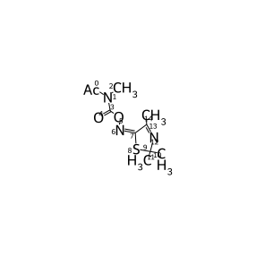 CC(=O)N(C)C(=O)ON=C1SC(C)(C)N=C1C